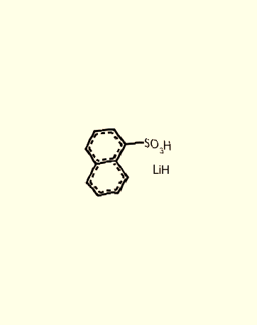 O=S(=O)(O)c1cccc2ccccc12.[LiH]